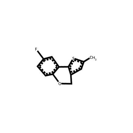 Cc1cc2c(s1)-c1cc(F)ccc1OC2